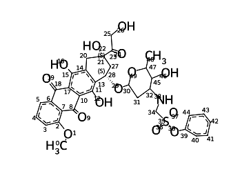 COc1cccc2c1C(=O)c1c(O)c3c(c(O)c1C2=O)C[C@@](O)(C(=O)CO)C[C@@H]3OC1CC(NCS(=O)(=O)Oc2ccccc2)C(O)C(C)O1